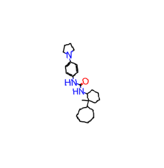 CC1(C2CCCCCC2)CCCCC1NC(=O)Nc1ccc(N2CCCC2)cc1